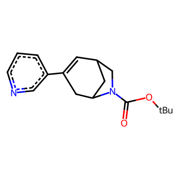 CC(C)(C)OC(=O)N1CC2C=C(c3cccnc3)CC1C2